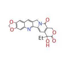 CCC1(O)C(=O)OCc2c1cc1n(c2=O)Cc2cc3cc4c(cc3nc2-1)OCO4